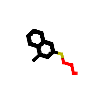 Cc1cc(SOOO)cc2ccccc12